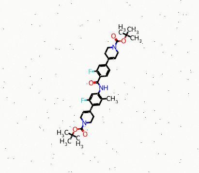 Cc1cc(C2=CCN(C(=O)OC(C)(C)C)CC2)c(F)cc1NC(=O)c1ccc(C2=CCN(C(=O)OC(C)(C)C)CC2)cc1F